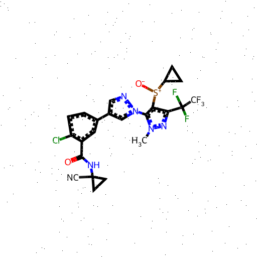 Cn1nc(C(F)(F)C(F)(F)F)c([S+]([O-])C2CC2)c1-n1cc(-c2ccc(Cl)c(C(=O)NC3(C#N)CC3)c2)cn1